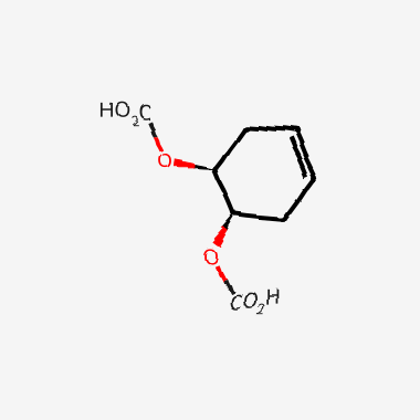 O=C(O)O[C@H]1CC=CC[C@H]1OC(=O)O